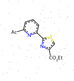 CCOC(=O)c1csc(-c2cccc(C(C)=O)n2)n1